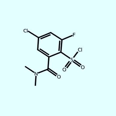 CN(C)C(=O)c1cc(Cl)cc(F)c1S(=O)(=O)Cl